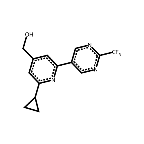 OCc1cc(-c2cnc(C(F)(F)F)nc2)nc(C2CC2)c1